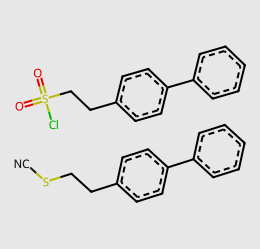 N#CSCCc1ccc(-c2ccccc2)cc1.O=S(=O)(Cl)CCc1ccc(-c2ccccc2)cc1